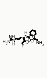 N=C(N)NCCC[C@H](NC(=O)[C@@H]1CCCCN1C(=O)CN)C(=O)CF